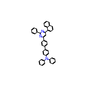 c1ccc(-c2nc(-c3ccc(-c4ccc(N(c5ccccc5)c5ccccc5)cc4)cc3)cc(-c3cccc4ccccc34)n2)cc1